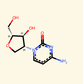 Nc1ccn([C@@H]2CO[C@H](CO)[C@H]2O)c(=O)n1